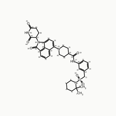 CC1(C)CCCCN1S(=O)(=O)Cc1cccc(NC(=O)C2CCN(c3ccc4c5c(cccc35)C(=O)N4C3CCC(=O)NC3=O)CC2)c1